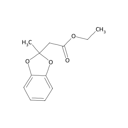 CCOC(=O)CC1(C)Oc2ccccc2O1